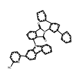 N#Cc1cccc(-c2ccc3c4ccccc4n(-c4cccc5c4C(=O)N(c4cc(-c6ccccc6)ccc4-c4ccccc4)C5=O)c3c2)n1